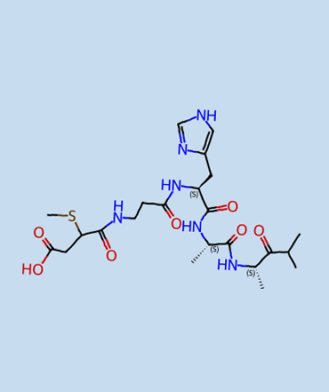 CSC(CC(=O)O)C(=O)NCCC(=O)N[C@@H](Cc1c[nH]cn1)C(=O)N[C@@H](C)C(=O)N[C@@H](C)C(=O)C(C)C